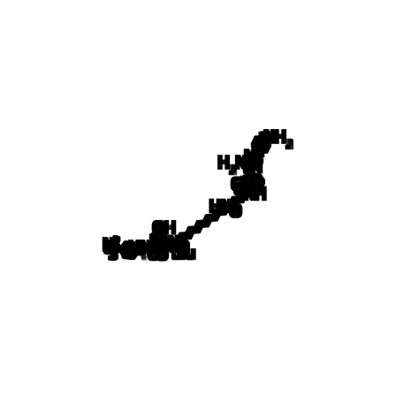 Cc1ncsc1-c1ccc([C@@H](C)NC(=O)[C@H]2C[C@H](O)CN2C(=O)[C@H](NC(=O)CCCCCCCCCCNC(=O)CCC(=O)Nc2cccc(Sc3ncc(N4CCC(C)(N)CC4)nc3N)c2Cl)C(C)(C)C)cc1